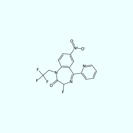 O=C1C(F)N=C(c2ccccn2)c2cc([N+](=O)[O-])ccc2N1CC(F)(F)F